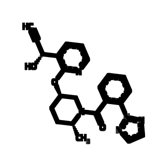 C#C[C@@H](O)c1cccnc1O[C@@H]1CC[C@@H](C)N(C(=O)c2ccccc2-n2nccn2)C1